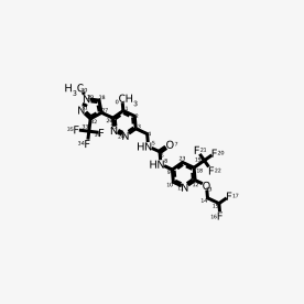 Cc1cc(CNC(=O)Nc2cnc(OCC(F)F)c(C(F)(F)F)c2)nnc1-c1cn(C)nc1C(F)(F)F